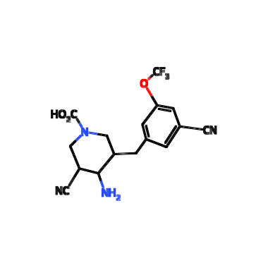 N#Cc1cc(CC2CN(C(=O)O)CC(C#N)C2N)cc(OC(F)(F)F)c1